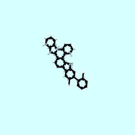 Cc1ccccc1-c1cc2[nH]c3c(ccc4c3c3ncccc3n3c5cccnc5nc43)c2cc1C